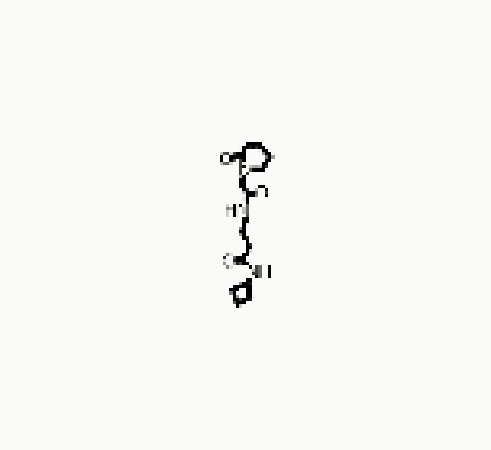 O=C(CN1CCCCC1=O)NCCCC(=O)NC1CCC1